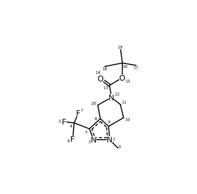 Cn1nc(C(F)(F)F)c2c1CCN(C(=O)OC(C)(C)C)C2